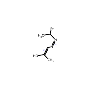 CCC(C)/N=N\C=C(/C)O